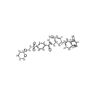 O=C(c1ccc(S(=O)(=O)CCOC2CCCCO2)cc1)N1CCOC2=C(CC(c3ccc4nc[nH]c4c3)C=C2)C1